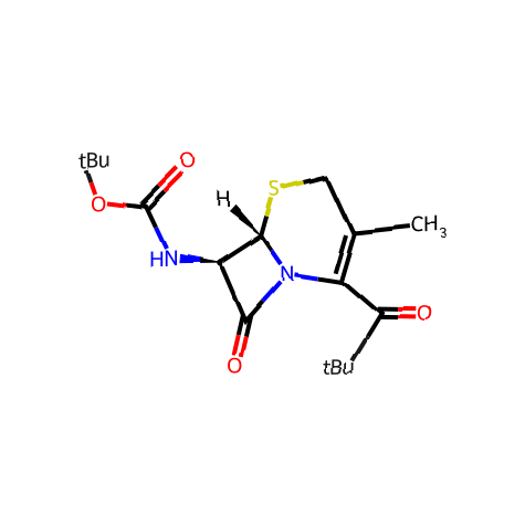 CC1=C(C(=O)C(C)(C)C)N2C(=O)[C@@H](NC(=O)OC(C)(C)C)[C@@H]2SC1